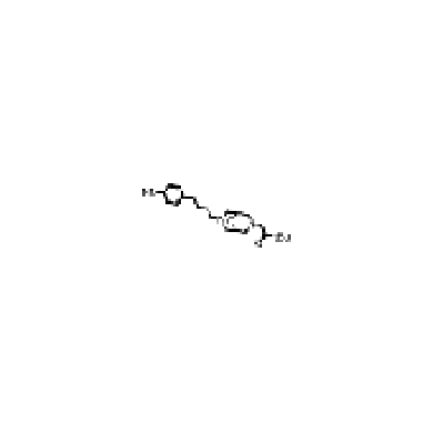 CC(C)(C)C(=O)CN1CC2CN(CCCCc3ccc(C#N)cc3)CC(C1)O2